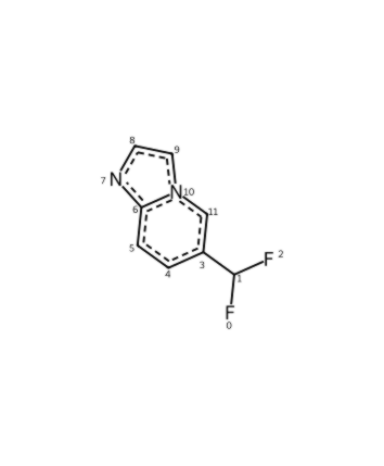 FC(F)c1ccc2nccn2c1